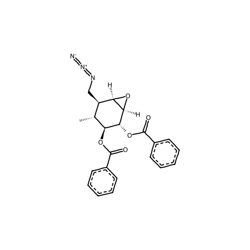 C[C@@H]1[C@@H](CN=[N+]=[N-])[C@H]2O[C@H]2[C@H](OC(=O)c2ccccc2)[C@H]1OC(=O)c1ccccc1